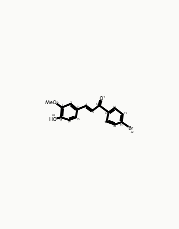 COc1cc(C=CC(=O)c2ccc(Br)cc2)ccc1O